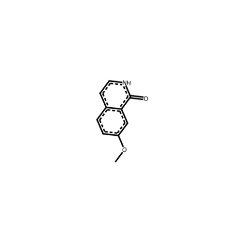 COc1ccc2cc[nH]c(=O)c2c1